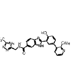 COc1ncccc1-c1ccc(O)c(-c2nc3ccc(C(=O)NCc4nnc(C)[nH]4)cc3[nH]2)c1